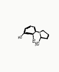 CCc1c(O)cccc1N1CCCC1O